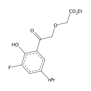 CCCc1cc(F)c(O)c(C(=O)COCC(=O)OCC)c1